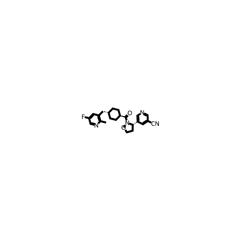 Cc1ncc(F)cc1C[C@H]1CC[C@H](C(=O)N2OCC[C@H]2c2cncc(C#N)c2)CC1